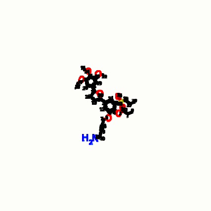 CCCOc1c(OCC#CCN)cc(C2CCC(c3cc(OC)c(OC)c(OC)c3)O2)cc1S(=O)(=O)CCC